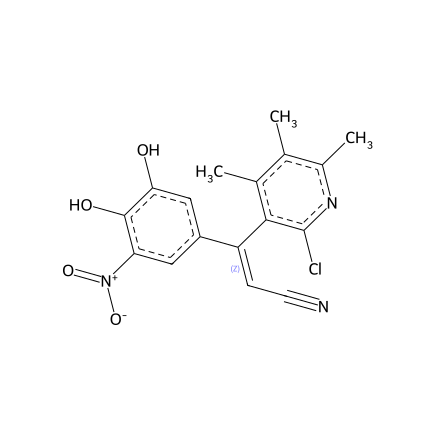 Cc1nc(Cl)c(/C(=C\C#N)c2cc(O)c(O)c([N+](=O)[O-])c2)c(C)c1C